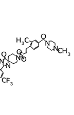 Cc1cc(C(=O)N2CCN(C)CC2)ccc1C=CS(=O)(=O)N1CCC2(CC1)N=C(c1cccc(C(F)(F)F)c1)NC2=O